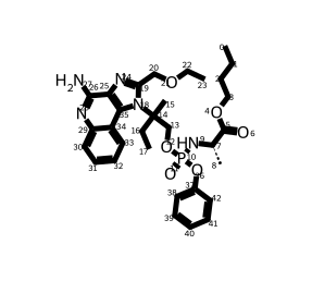 CCCCOC(=O)[C@H](C)NP(=O)(OCC(C)(CC)n1c(COCC)nc2c(N)nc3ccccc3c21)Oc1ccccc1